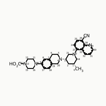 C[C@@H]1C[C@H](N2CCc3cc(N4CCN(C(=O)O)CC4)ccc3C2)CN(c2ccc(C#N)c3ncccc23)C1